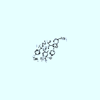 COc1ccc(-c2oc3cc(OC)ccc3c2C2=C(Cc3ccc(OC)cc3OC(C)c3ccc(OC)cc3)C(F)(F)C(F)(F)C2(F)F)cc1